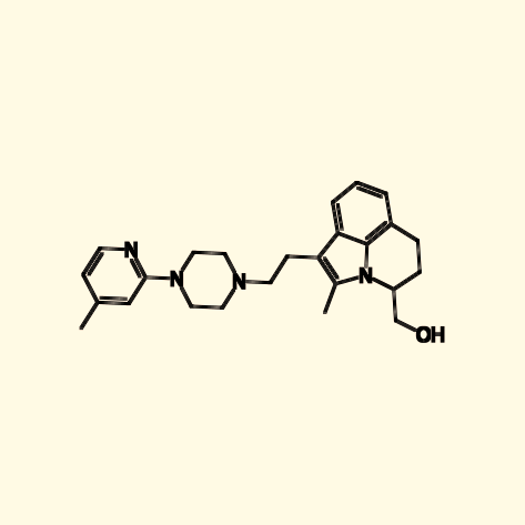 Cc1ccnc(N2CCN(CCc3c(C)n4c5c(cccc35)CCC4CO)CC2)c1